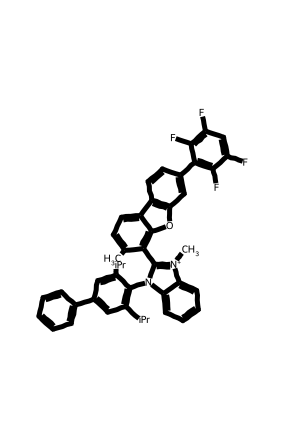 Cc1ccc2c(oc3cc(-c4c(F)c(F)cc(F)c4F)ccc32)c1-c1n(-c2c(C(C)C)cc(-c3ccccc3)cc2C(C)C)c2ccccc2[n+]1C